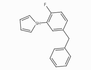 Fc1ccc(Cc2ccccc2)cc1[SH]1C=CC=C1